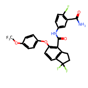 NC(=O)c1cc(NC(=O)c2c(Oc3ccc(OC(F)(F)F)cc3)ccc3c2CCC3(F)F)ccc1F